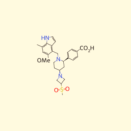 COc1cc(C)c2[nH]ccc2c1CN1CC[C@H](N2CC(S(C)(=O)=O)C2)C[C@@H]1c1ccc(C(=O)O)cc1